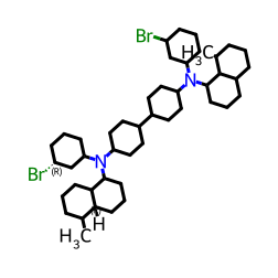 CC1CCCC2CCCC(N(C3CCC(C4CCC(N(C5CCC[C@@H](Br)C5)C5CCC[C@@H]6C(C)CCCC56)CC4)CC3)C3CCCC(Br)C3)C12